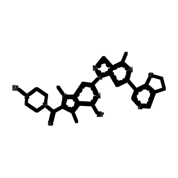 CCN1CCN(C(=O)c2c(C)c3c(C(C)C)nc(-n4ncc5c(C)nc(-c6cncc7c6OCC7)cc54)cc3n2C)CC1